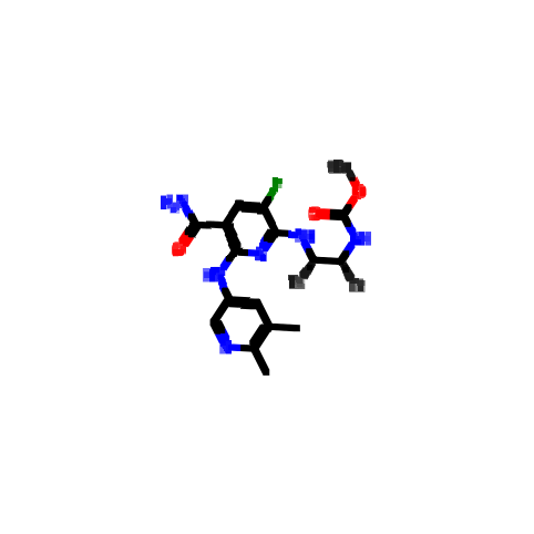 CC[C@H](NC(=O)OC(C)(C)C)[C@@H](CC)Nc1nc(Nc2cnc(C)c(C)c2)c(C(N)=O)cc1F